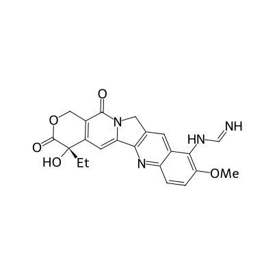 CC[C@@]1(O)C(=O)OCc2c1cc1n(c2=O)Cc2cc3c(NC=N)c(OC)ccc3nc2-1